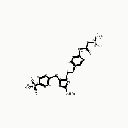 CC(=O)Nc1nc(CCc2ccc(NC(=O)CN(C(=O)O)C(C)(C)C)cc2)c(Cc2ccc(S(C)(=O)=O)cc2)s1